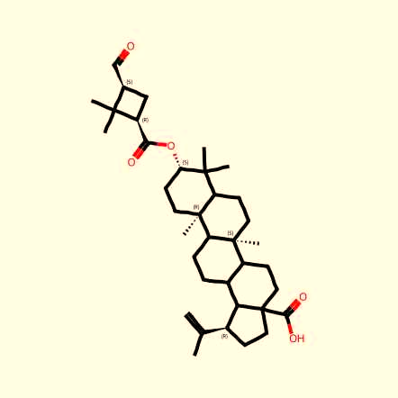 C=C(C)[C@@H]1CCC2(C(=O)O)CCC3C(CCC4[C@@]3(C)CCC3C(C)(C)[C@@H](OC(=O)[C@@H]5C[C@H](C=O)C5(C)C)CC[C@@]34C)C12